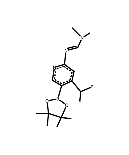 CN(C)C=Nc1cc(C(F)F)c(B2OC(C)(C)C(C)(C)O2)cn1